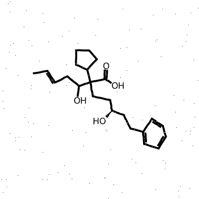 CC=CCC(O)C(CC[C@H](O)CCc1ccccc1)(C(=O)O)C1CCCC1